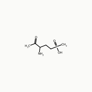 CC(=O)C(N)CCP(C)(=O)O